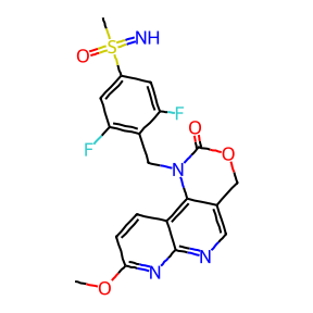 COc1ccc2c3c(cnc2n1)COC(=O)N3Cc1c(F)cc(S(C)(=N)=O)cc1F